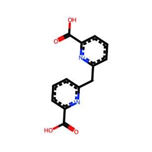 O=C(O)c1cccc([CH]c2cccc(C(=O)O)n2)n1